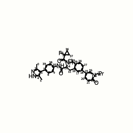 Cc1n[nH]c(C)c1-c1ccc(NC(=O)[C@H](Cc2cc(-c3ccc(=O)n(C(C)C)c3)ccc2Cl)NC(=O)C2(F)CC2)cc1